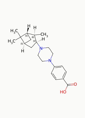 C[C@H]1[C@@H](N2CCN(c3ccc(C(=O)O)cc3)CC2)C[C@@H]2C[C@@H]1C2(C)C